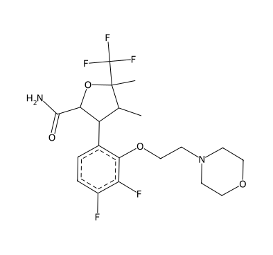 CC1C(c2ccc(F)c(F)c2OCCN2CCOCC2)C(C(N)=O)OC1(C)C(F)(F)F